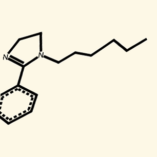 CCCCCCN1CCN=C1c1ccccc1